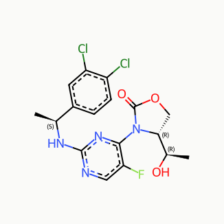 C[C@H](Nc1ncc(F)c(N2C(=O)OC[C@@H]2[C@@H](C)O)n1)c1ccc(Cl)c(Cl)c1